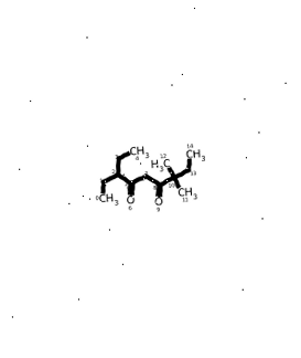 CCC(CC)C(=O)CC(=O)C(C)(C)CC